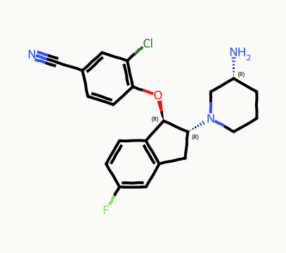 N#Cc1ccc(O[C@@H]2c3ccc(F)cc3C[C@H]2N2CCC[C@@H](N)C2)c(Cl)c1